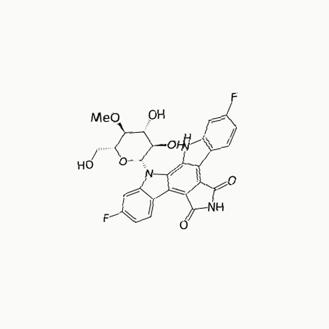 CO[C@H]1[C@H](O)[C@@H](O)[C@H](n2c3cc(F)ccc3c3c4c(c5c6ccc(F)cc6[nH]c5c32)C(=O)NC4=O)O[C@@H]1CO